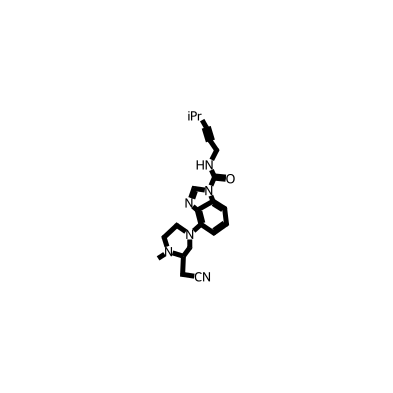 CC(C)C#CCNC(=O)n1cnc2c(N3CCN(C)C(CC#N)C3)cccc21